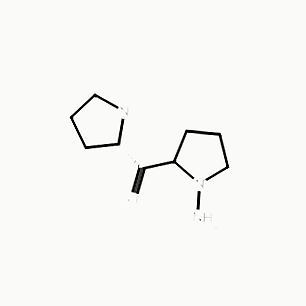 NN1CCCC1C(=O)[C@@H]1CCCN1